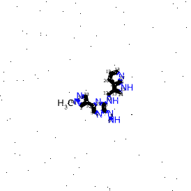 Cn1cc(-c2cnc(N=N)c(NCc3c[nH]c4ncccc34)n2)cn1